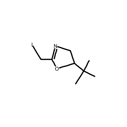 CC(C)(C)C1CN=C(CI)O1